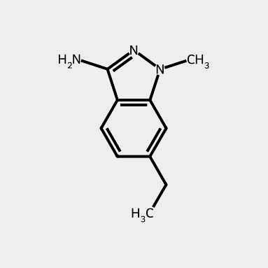 CCc1ccc2c(N)nn(C)c2c1